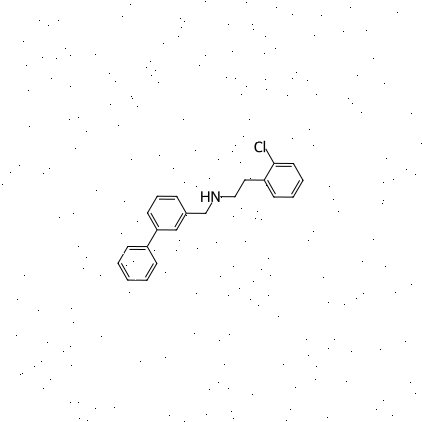 Clc1ccccc1CCNCc1cccc(-c2ccccc2)c1